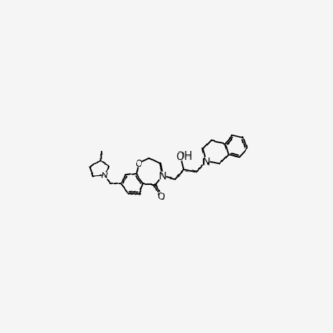 CC1CCN(Cc2ccc3c(c2)OCCN(CC(O)CN2CCc4ccccc4C2)C3=O)C1